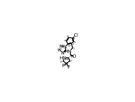 O=C(NCc1cc(Cl)ccc1-n1cnnn1)[C@@H]1CC(F)(F)CN1